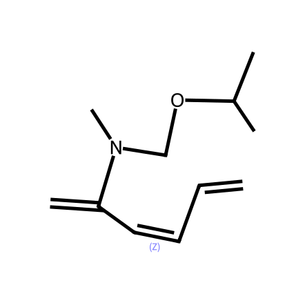 C=C/C=C\C(=C)N(C)COC(C)C